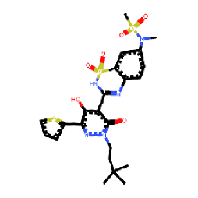 CN(c1ccc2c(c1)S(=O)(=O)NC(c1c(O)c(-c3cccs3)nn(CCC(C)(C)C)c1=O)=N2)S(C)(=O)=O